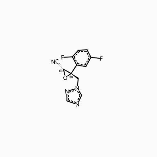 N#C[C@H]1O[C@@]1(Cn1cncn1)c1cc(F)ccc1F